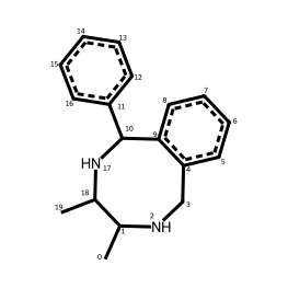 CC1NCc2ccccc2C(c2ccccc2)NC1C